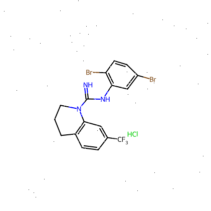 Cl.N=C(Nc1cc(Br)ccc1Br)N1CCCc2ccc(C(F)(F)F)cc21